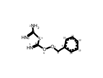 N=C(N)SC(=N)OOCc1ccccc1